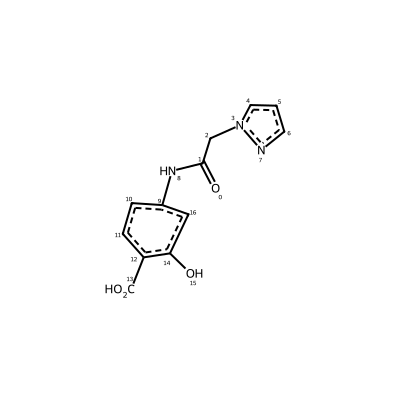 O=C(Cn1cccn1)Nc1ccc(C(=O)O)c(O)c1